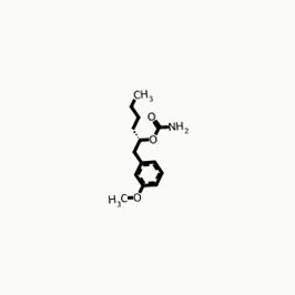 CCCC[C@@H](Cc1cccc(OC)c1)OC(N)=O